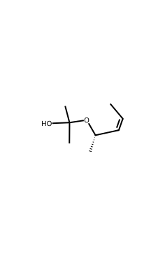 C/C=C\[C@H](C)OC(C)(C)O